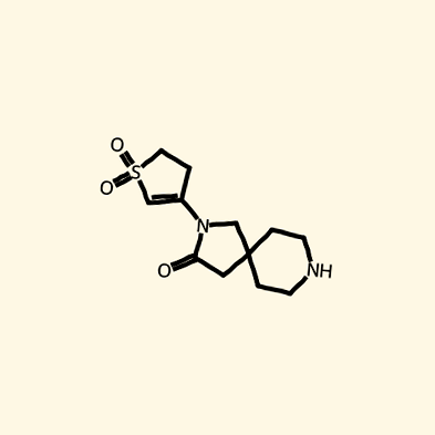 O=C1CC2(CCNCC2)CN1C1=CS(=O)(=O)CC1